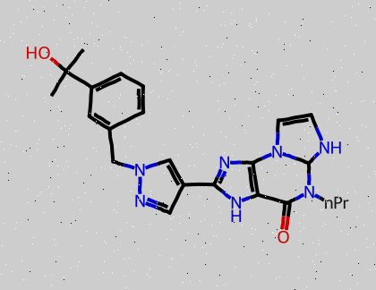 CCCN1C(=O)c2[nH]c(-c3cnn(Cc4cccc(C(C)(C)O)c4)c3)nc2N2C=CNC12